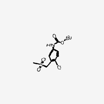 CC(C)(C)OC(=O)Nc1ccc(Cl)c(CS(C)(=O)=O)c1